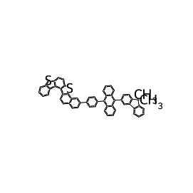 CC1(C)c2ccccc2-c2cc(-c3c4ccccc4c(-c4ccc(-c5ccc6ccc7c(sc8ccc9sc%10ccccc%10c9c87)c6c5)cc4)c4ccccc34)ccc21